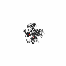 CC[C@H](C)[C@@H]([C@@H](CC(=O)N1CCC[C@H]1[C@H](OC)[C@@H](C)C(=O)N[C@H](C)[C@@H](O)c1ccccc1)OC)N(C)C(=O)[C@@H](NC(=O)[C@H](C(C)C)N(C)C(=O)OCc1ccc(O[C@@H]2O[C@H](C(=O)O)[C@@H](O)[C@H](O)[C@H]2O)c(NC(=O)CCNC(=O)C2(N3C(=O)C=CC3=O)CN(CCOC)C2)c1)C(C)C